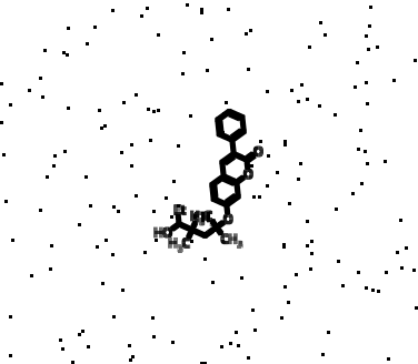 CCC(O)C(C)(C)CC(C)(C)Oc1ccc2cc(-c3ccccc3)c(=O)oc2c1